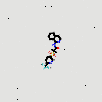 CC(C)(C(=O)Nc1nccc2ccccc12)S(=O)(=O)c1ccc(C(F)(F)F)nc1